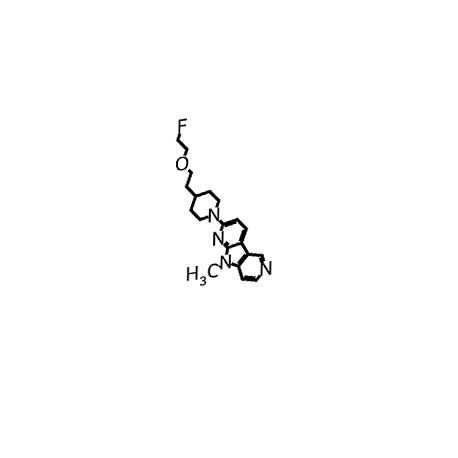 Cn1c2ccncc2c2ccc(N3CCC(CCOCCF)CC3)nc21